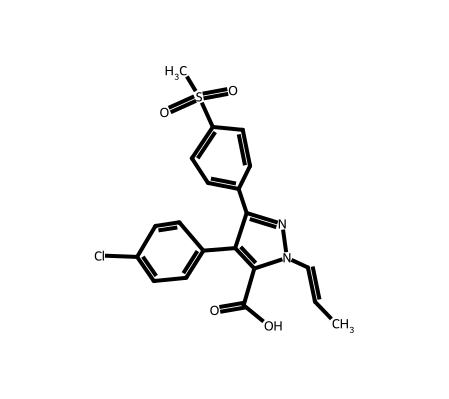 CC=Cn1nc(-c2ccc(S(C)(=O)=O)cc2)c(-c2ccc(Cl)cc2)c1C(=O)O